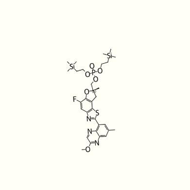 COc1cnc2c(-c3nc4cc(F)c5c(c4s3)C[C@@](C)(COP(=O)(OCC[Si](C)(C)C)OCC[Si](C)(C)C)O5)cc(C)cc2n1